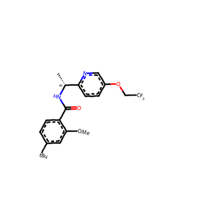 COc1cc(C(C)(C)C)ccc1C(=O)N[C@H](C)c1ccc(OCC(F)(F)F)cn1